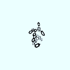 CC1(C)c2cc(-c3cc(-c4nc(-c5ccccc5)nc(-c5ccccc5)n4)cc4oc5ccccc5c34)ccc2-c2ccc3oc(-c4ccccc4)nc3c21